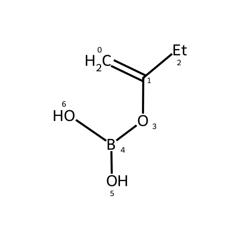 C=C(CC)OB(O)O